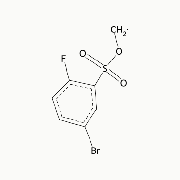 [CH2]OS(=O)(=O)c1cc(Br)ccc1F